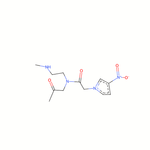 CNCCN(CC(C)=O)C(=O)Cn1ccc([N+](=O)[O-])c1